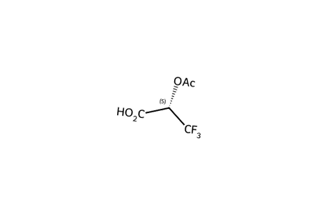 CC(=O)O[C@@H](C(=O)O)C(F)(F)F